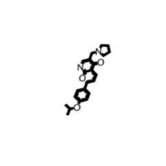 CC(C)Oc1ccc(-c2ccc3c(=O)c(CN4CCCC4)cnc-3o2)cc1